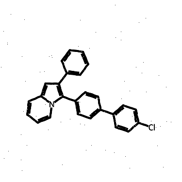 Clc1ccc(-c2ccc(-c3c(-c4ccccc4)cc4ccccn34)cc2)cc1